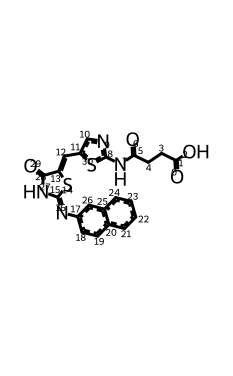 O=C(O)CCC(=O)Nc1ncc(/C=C2\SC(=Nc3ccc4ccccc4c3)NC2=O)s1